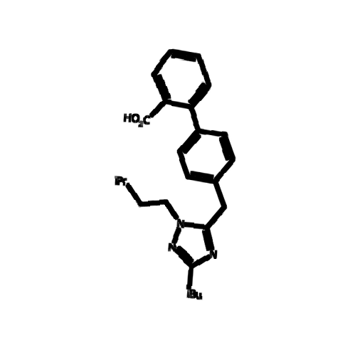 CCC(C)c1nc(Cc2ccc(-c3ccccc3C(=O)O)cc2)n(CCC(C)C)n1